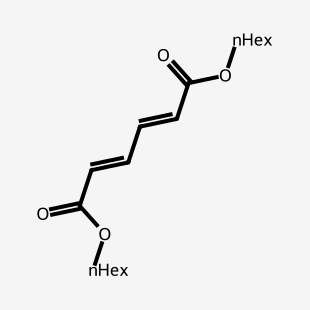 CCCCCCOC(=O)C=CC=CC(=O)OCCCCCC